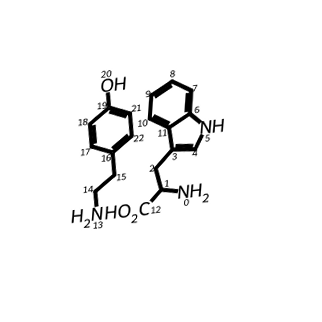 NC(Cc1c[nH]c2ccccc12)C(=O)O.NCCc1ccc(O)cc1